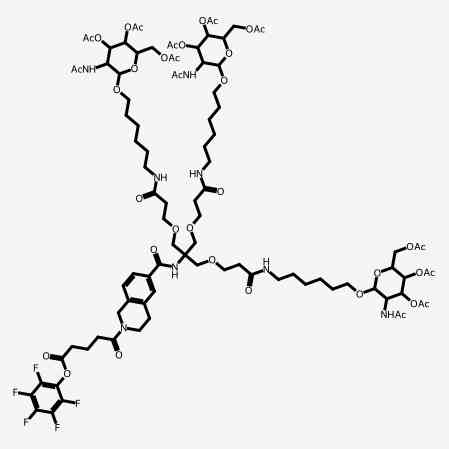 CC(=O)NC1C(OCCCCCCNC(=O)CCOCC(COCCC(=O)NCCCCCCOC2OC(COC(C)=O)C(OC(C)=O)C(OC(C)=O)C2NC(C)=O)(COCCC(=O)NCCCCCCOC2OC(COC(C)=O)C(OC(C)=O)C(OC(C)=O)C2NC(C)=O)NC(=O)c2ccc3c(c2)CCN(C(=O)CCCC(=O)Oc2c(F)c(F)c(F)c(F)c2F)C3)OC(COC(C)=O)C(OC(C)=O)C1OC(C)=O